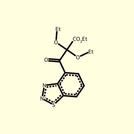 CCOC(=O)C(OCC)(OCC)C(=O)c1cccc2snnc12